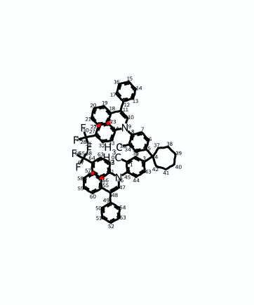 Cc1cc(C2(c3ccc(N(C=C(c4ccccc4)c4ccccc4)c4ccc(C(F)(F)F)cc4)c(C)c3)CCCCCC2)ccc1N(C=C(c1ccccc1)c1ccccc1)c1ccc(C(F)(F)F)cc1